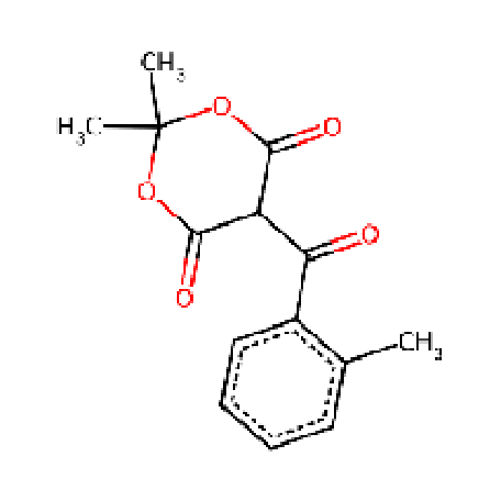 Cc1ccccc1C(=O)C1C(=O)OC(C)(C)OC1=O